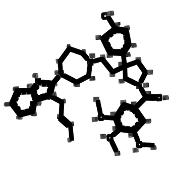 C/C=C/Cn1c(N2CCCN(CCC3(c4ccc(Cl)cc4)CCN(C(=O)c4cc(OC)c(OC)c(OC)c4)C3)CC2)nc2ccccc21